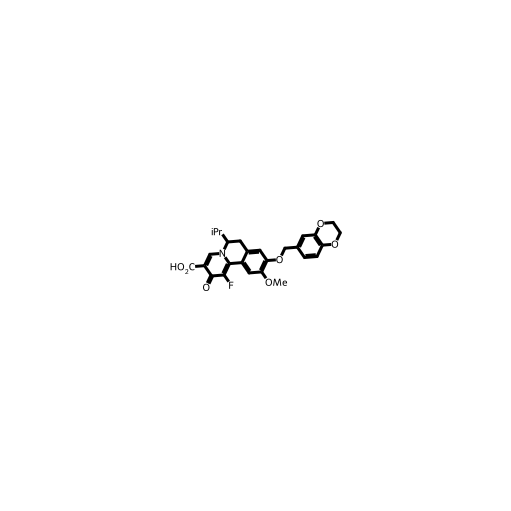 COc1cc2c(cc1OCc1ccc3c(c1)OCCO3)CC(C(C)C)n1cc(C(=O)O)c(=O)c(F)c1-2